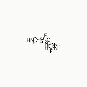 Cc1cn2cc(NC(=O)c3sc(C4CCNC(C)C4)cc3F)cc(F)c2n1